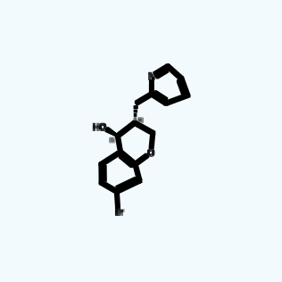 O[C@@H]1c2ccc(Br)cc2OC[C@H]1Cc1ccccn1